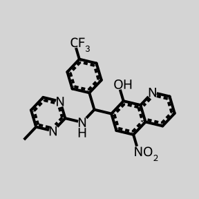 Cc1ccnc(NC(c2ccc(C(F)(F)F)cc2)c2cc([N+](=O)[O-])c3cccnc3c2O)n1